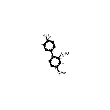 Bc1ccc(-c2ccc(OC)cc2C=O)cc1